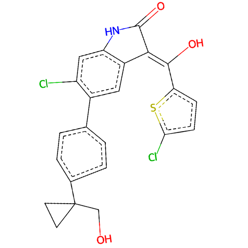 O=C1Nc2cc(Cl)c(-c3ccc(C4(CO)CC4)cc3)cc2/C1=C(/O)c1ccc(Cl)s1